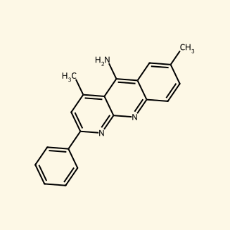 Cc1ccc2nc3nc(-c4ccccc4)cc(C)c3c(N)c2c1